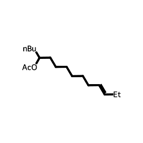 CCC=CCCCCCCC(CCCC)OC(C)=O